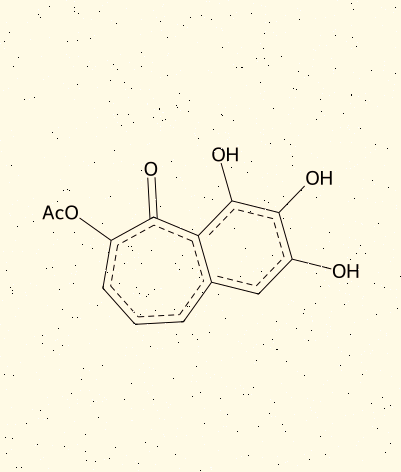 CC(=O)Oc1cccc2cc(O)c(O)c(O)c2c1=O